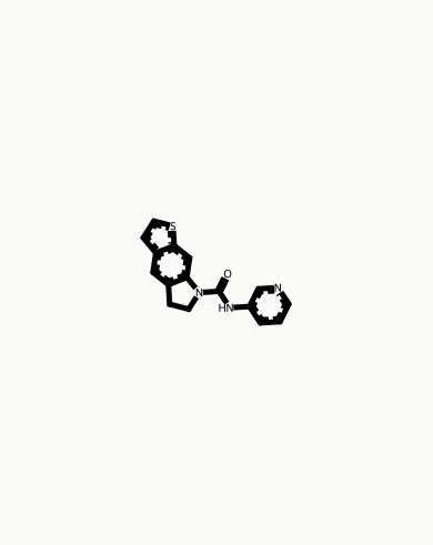 O=C(Nc1cccnc1)N1CCc2cc3ccsc3cc21